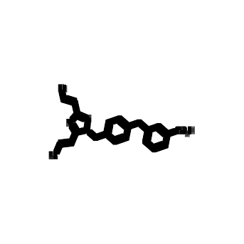 CC/C=C/c1nc(/C=C/CC)n(Cc2ccc(Cc3cccc(C(=O)O)c3)cc2)n1